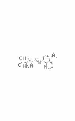 CN(C)c1ccc(/N=N/c2n[nH]c(C(=O)O)n2)c2ncccc12